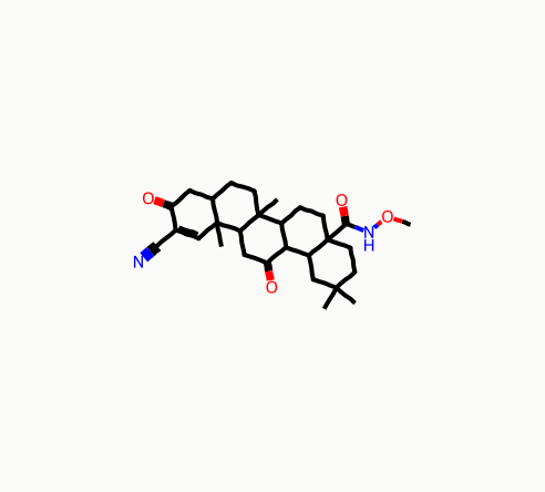 CONC(=O)C12CCC3C(C(=O)CC4C5(C)C=C(C#N)C(=O)CC5CCC34C)C1CC(C)(C)CC2